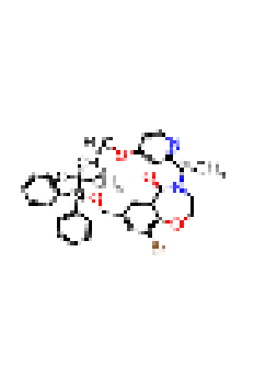 COc1ccnc([C@H](C)N2CCOc3c(Br)cc(CO[Si](c4ccccc4)(c4ccccc4)C(C)(C)C)cc3C2=O)c1